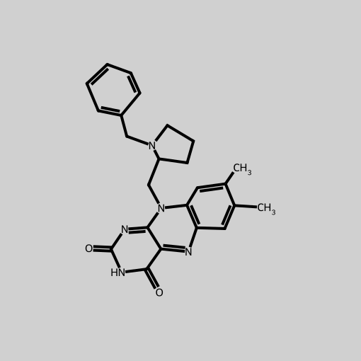 Cc1cc2nc3c(=O)[nH]c(=O)nc-3n(CC3CCCN3Cc3ccccc3)c2cc1C